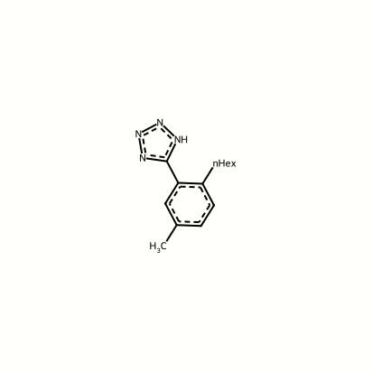 CCCCCCc1ccc(C)cc1-c1nnn[nH]1